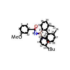 COc1cccc(C(=O)N=S(c2ccc(C(C)(C)C)cc2)c2cccc(C)c2-c2c(C)cccc2I)c1